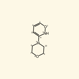 C1=CONC(N2CCOCC2)=C1